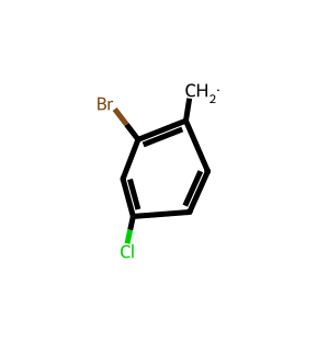 [CH2]c1ccc(Cl)cc1Br